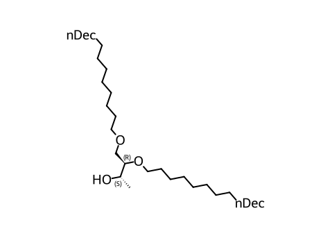 CCCCCCCCCCCCCCCCCCOC[C@@H](OCCCCCCCCCCCCCCCCCC)[C@H](C)O